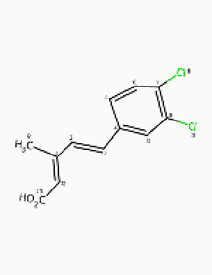 CC(C=Cc1ccc(Cl)c(Cl)c1)=CC(=O)O